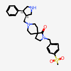 CS(=O)(=O)c1ccc(CN2CCC3(CCN(C[C@@H]4CNC[C@@H]4c4ccccc4)CC3)C2=O)cc1